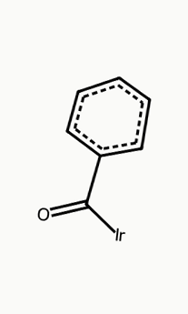 O=[C]([Ir])c1ccccc1